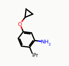 CC(C)c1ccc(OC2CC2)cc1N